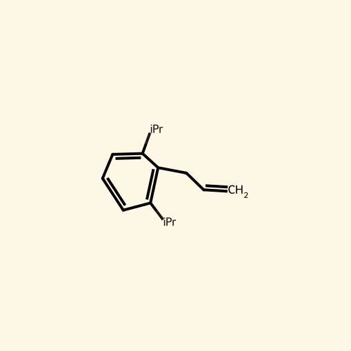 C=CCc1c(C(C)C)cccc1C(C)C